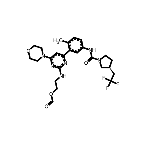 Cc1ccc(NC(=O)N2CC[C@@H](CC(F)(F)F)C2)cc1-c1cc(N2CCOCC2)nc(NCCOC=O)n1